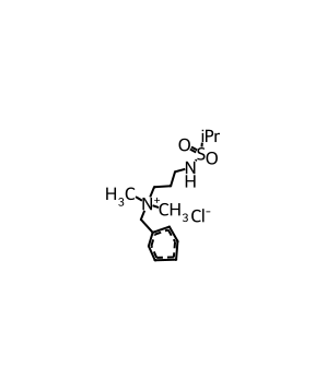 CC(C)S(=O)(=O)NCCC[N+](C)(C)Cc1ccccc1.[Cl-]